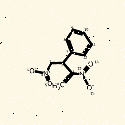 C=C(C(C[N+](=O)[O-])c1ccccc1)[N+](=O)[O-]